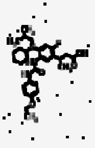 CCOc1ccc(NC(=O)Nc2cc(C(C)CC(=O)O)c(F)cc2N(CC(C)C)C2CCCCC2)cc1